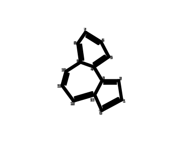 [c]1ccc2c3ccccc3cccc1-2